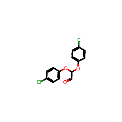 O=[C]C(Oc1ccc(Cl)cc1)Oc1ccc(Cl)cc1